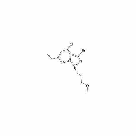 CCc1cc(Cl)c2c(Br)nn(CCCOC)c2c1